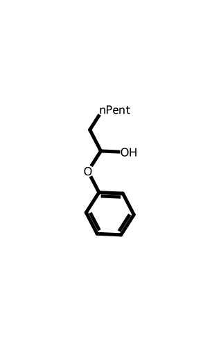 CCCCCCC(O)Oc1ccccc1